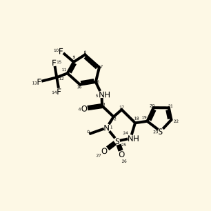 CN1C(C(=O)Nc2ccc(F)c(C(F)(F)F)c2)CC(c2cccs2)NS1(=O)=O